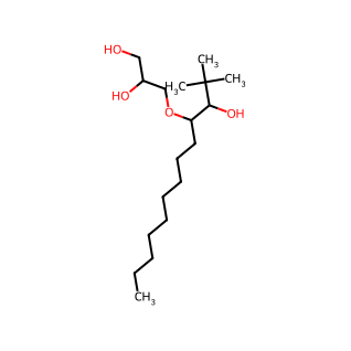 CCCCCCCCCC(OCC(O)CO)C(O)C(C)(C)C